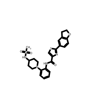 CS(=O)(=O)NC1CCN(c2ccccc2NC(=O)c2csc(-c3ccc4c(c3)CCO4)n2)CC1